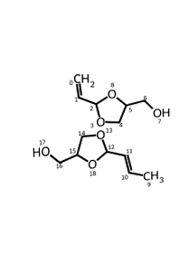 C=CC1OCC(CO)O1.CC=CC1OCC(CO)O1